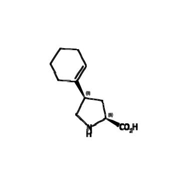 O=C(O)[C@@H]1C[C@H](C2=CCCCC2)CN1